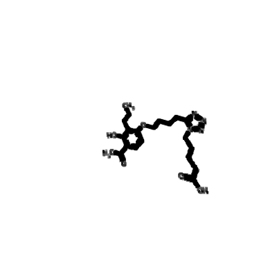 CCCc1c(OCCCCc2nnnn2CCCCC(=O)O)ccc(C(C)=O)c1O